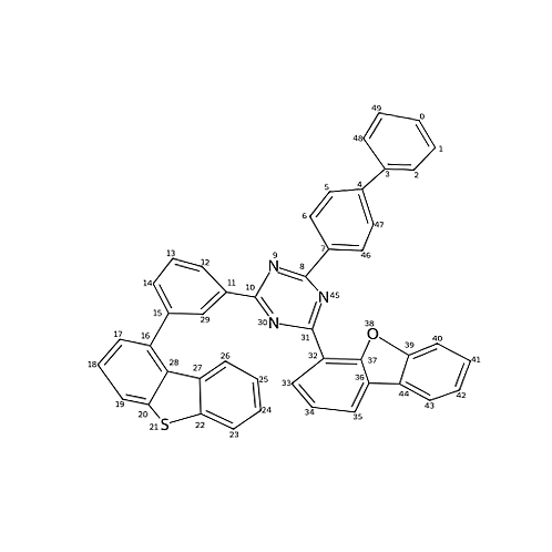 c1ccc(-c2ccc(-c3nc(-c4cccc(-c5cccc6sc7ccccc7c56)c4)nc(-c4cccc5c4oc4ccccc45)n3)cc2)cc1